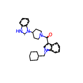 O=C(c1cn(CC2CCCCC2)c2ccccc12)N1CCC(N2[CH]Nc3ccccc32)CC1